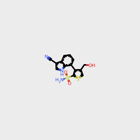 N#Cc1c[nH]c2c(-c3c(CO)csc3S(N)(=O)=O)cccc12